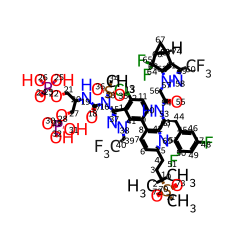 CC(C)(CCc1ccc(-c2ccc(Cl)c3c(N(C(=O)NC(COP(=O)(O)O)COP(=O)(O)O)S(C)(=O)=O)nn(CC(F)(F)F)c23)c([C@H](Cc2cc(F)cc(F)c2)NC(=O)Cn2nc(C(F)(F)F)c3c2C(F)(F)C2C[C@H]32)n1)S(C)(=O)=O